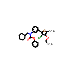 O=C(O)COc1c(C(=O)O)sc(-c2cccc(N(CC3CCCCC3)C(=O)Oc3ccccc3)c2)c1Br